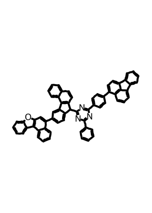 c1ccc(-c2nc(-c3ccc(-c4ccc5c6c(cccc46)-c4ccccc4-5)cc3)nc(C3c4ccc(-c5cc6oc7ccccc7c6c6ccccc56)cc4-c4c3ccc3ccccc43)n2)cc1